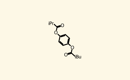 CCC(C)C(=O)Oc1ccc(OC(=O)C(C)C)cc1